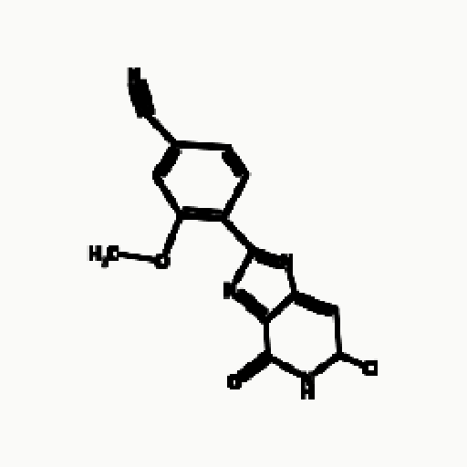 COc1cc(C#N)ccc1C1=NC2=CC(Cl)NC(=O)C2=N1